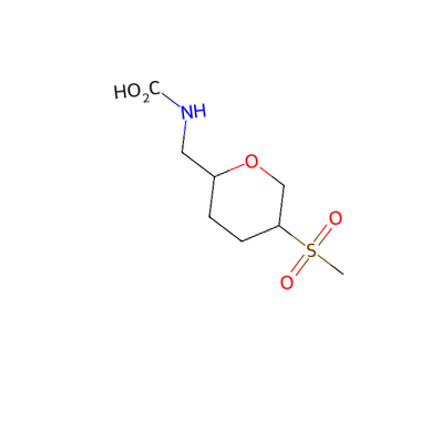 CS(=O)(=O)C1CCC(CNC(=O)O)OC1